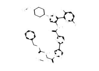 CCO[C@H]1CC[C@H](n2cc(NC(=O)c3csc(-c4cnn(C(=O)[C@H](CC(C)C)NC(=O)OCc5ccccc5)c4)n3)c(-c3nc(F)ccc3F)n2)CC1